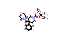 CC(C)(C)OC(=O)N1CCC(C(=O)N2CCOCC2)(c2ccccc2)CC1